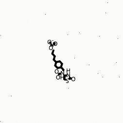 O=C1NC(N(CC2CCC(CCCCO[N+](=O)[O-])CC2)C(=O)O)CS1